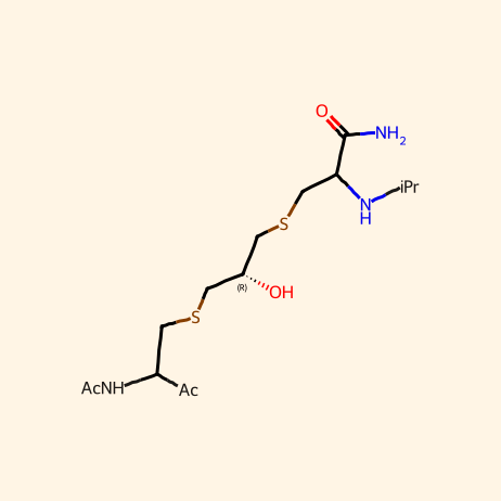 CC(=O)NC(CSC[C@@H](O)CSCC(NC(C)C)C(N)=O)C(C)=O